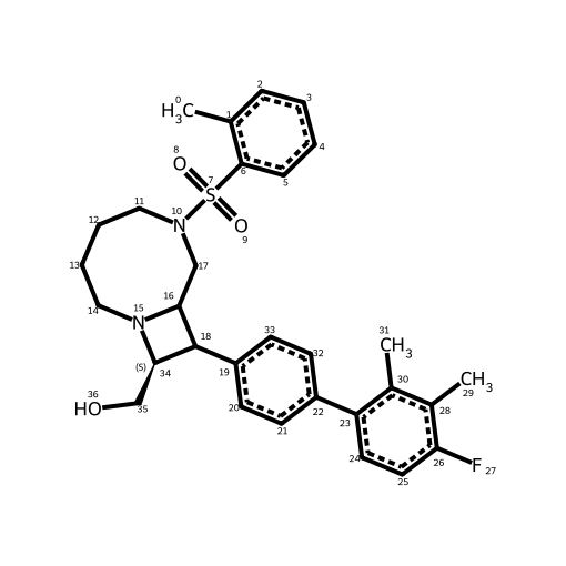 Cc1ccccc1S(=O)(=O)N1CCCCN2C(C1)C(c1ccc(-c3ccc(F)c(C)c3C)cc1)[C@H]2CO